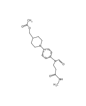 CNC(=O)CCN(C=O)c1ccc(N2CCC(COC(C)=O)CC2)cc1